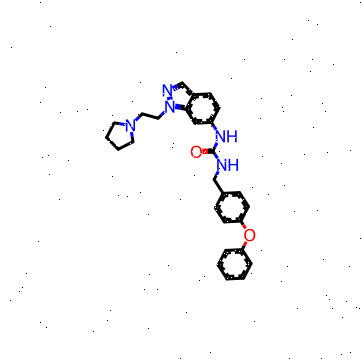 O=C(NCc1ccc(Oc2ccccc2)cc1)Nc1ccc2cnn(CCN3CCCC3)c2c1